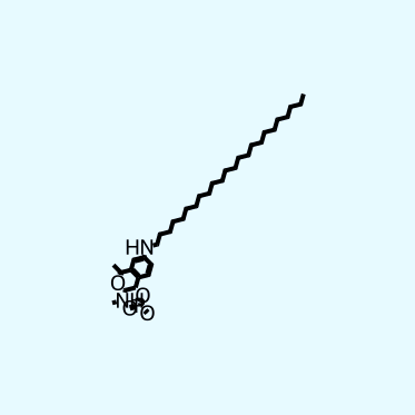 CCCCCCCCCCCCCCCCCCCCCCCCNc1ccc(C(CNC)OP(=O)=O)c(C(C)=O)c1